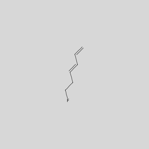 C=C/C=C/CCF